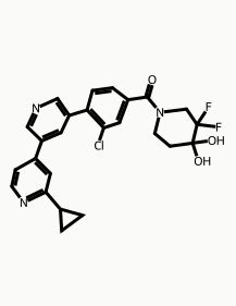 O=C(c1ccc(-c2cncc(-c3ccnc(C4CC4)c3)c2)c(Cl)c1)N1CCC(O)(O)C(F)(F)C1